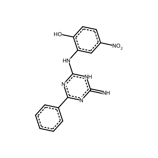 N=c1nc(-c2ccccc2)nc(Nc2cc([N+](=O)[O-])ccc2O)[nH]1